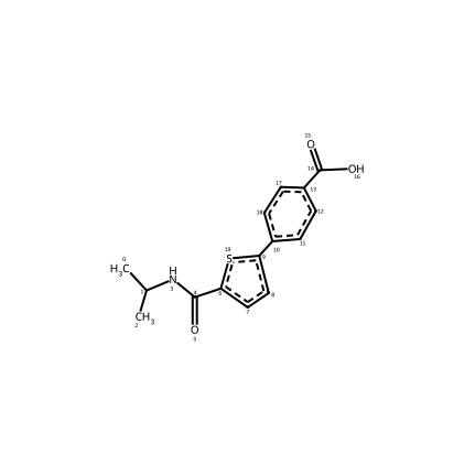 CC(C)NC(=O)c1ccc(-c2ccc(C(=O)O)cc2)s1